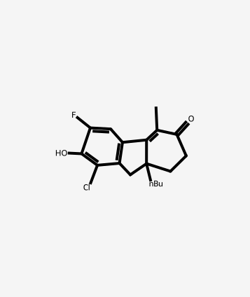 CCCCC12CCC(=O)C(C)=C1c1cc(F)c(O)c(Cl)c1C2